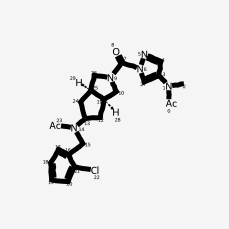 CC(=O)N(C)c1cnn(C(=O)N2C[C@H]3CC(N(Cc4ccccc4Cl)C(C)=O)C[C@H]3C2)c1